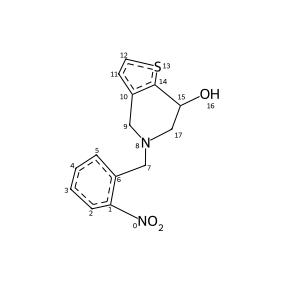 O=[N+]([O-])c1ccccc1CN1Cc2ccsc2C(O)C1